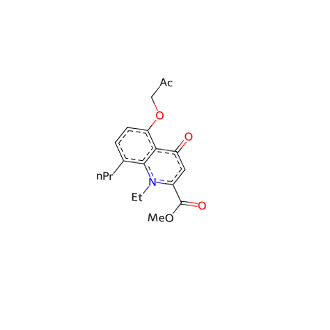 CCCc1ccc(OCC(C)=O)c2c(=O)cc(C(=O)OC)n(CC)c12